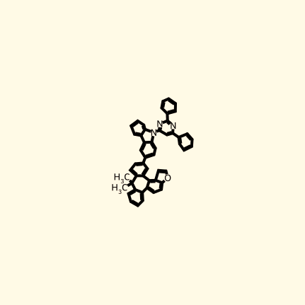 CC1(C)c2ccccc2-c2ccc3occc3c2-c2cc(-c3ccc4c(c3)c3ccccc3n4-c3cc(-c4ccccc4)nc(-c4ccccc4)n3)ccc21